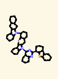 c1ccc2cc3c(cc2c1)c1ccccc1n3-c1cccc2cc3c(cc12)c1ccccc1n3-c1nc(-c2cccc3c2sc2ccccc23)nc2ccccc12